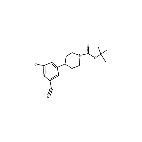 CC(C)(C)OC(=O)N1CCC(c2cc(Cl)nc(C#N)c2)CC1